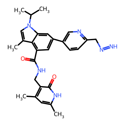 Cc1cc(C)c(CNC(=O)c2cc(-c3ccc(CN=N)nc3)cc3c2c(C)cn3C(C)C)c(=O)[nH]1